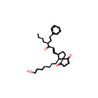 CCCCC(CCc1ccccc1)C(=O)C=CC1CCC2(C(=O)CCC2=O)C1CCCCCCCO